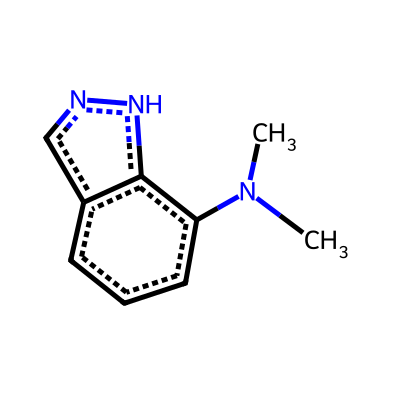 CN(C)c1cccc2cn[nH]c12